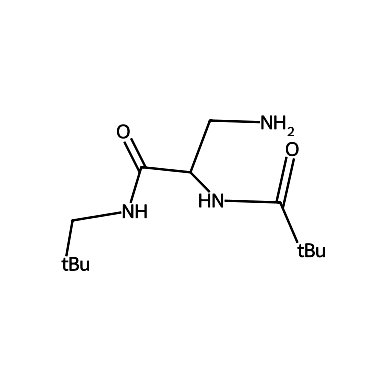 CC(C)(C)CNC(=O)C(CN)NC(=O)C(C)(C)C